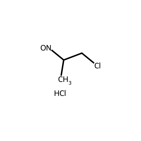 CC(CCl)N=O.Cl